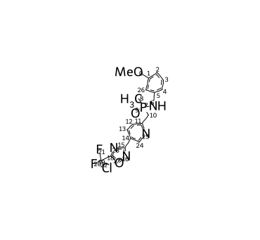 COc1cccc(NP(C)(=O)Cc2ccc(-c3noc(C(F)(F)Cl)n3)cn2)c1